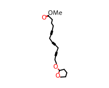 COC(=O)CCCC#CCC#CCC#CCCOC1CCCCO1